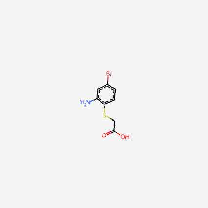 Nc1cc(Br)ccc1SCC(=O)O